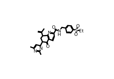 C=C(C)C1CC(c2cc(C)nc(C)n2)C(=O)c2ccc(C(=O)NCc3ccc(S(=O)(=O)CC)cc3)nc21